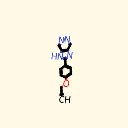 C#CCOc1ccc(-c2nc3cnncc3[nH]2)cc1